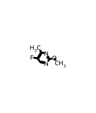 COc1ncc(F)c(C)n1